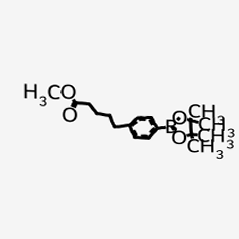 COC(=O)CCCCc1ccc(B2OC(C)(C)C(C)(C)O2)cc1